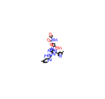 Cc1cncc(-c2nc(NCc3cc(C)ccn3)c3ncn([C@@H]4O[C@H](C(=O)NC5COC5)C[C@H]4O)c3n2)c1